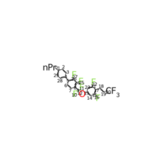 CCCc1ccc(-c2ccc(C(F)(F)Oc3cc(F)c(/C=C/C(F)(F)F)c(F)c3)c(F)c2F)cc1